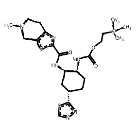 CN1CCc2nc(C(=O)N[C@@H]3C[C@@H](c4nncs4)CC[C@@H]3NC(=O)OCC[Si](C)(C)C)sc2C1